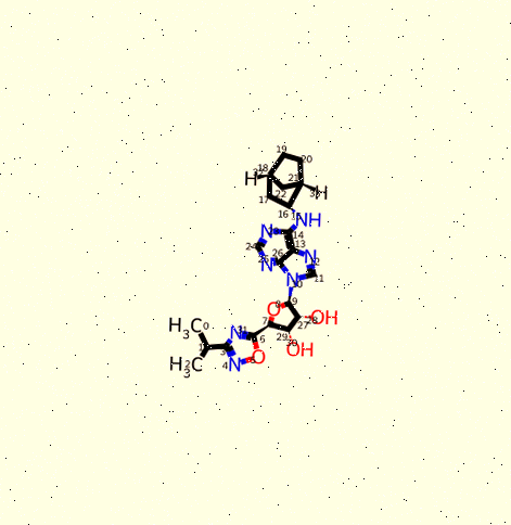 CC(C)c1noc([C@H]2O[C@@H](n3cnc4c(N[C@@H]5C[C@@H]6CC[C@H]5C6)ncnc43)[C@H](O)[C@@H]2O)n1